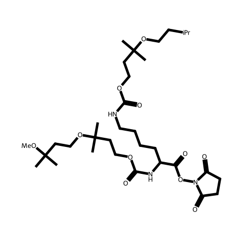 COC(C)(C)CCOC(C)(C)CCOC(=O)NC(CCCCNC(=O)OCCC(C)(C)OCCC(C)C)C(=O)ON1C(=O)CCC1=O